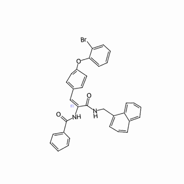 O=C(NCc1cccc2ccccc12)/C(=C\c1ccc(Oc2ccccc2Br)cc1)NC(=O)c1ccccc1